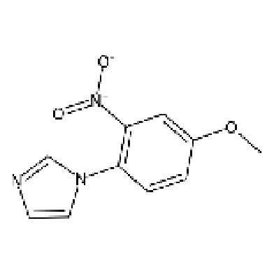 COc1ccc(-n2ccnc2)c([N+](=O)[O-])c1